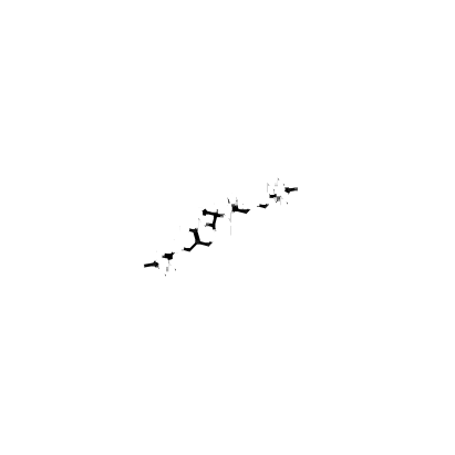 CCc1nnn(CSCC(=O)N[C@@]2(OC)C(=O)N3C(C(=O)O)=C(CSc4nnc(C)s4)CSC32)n1